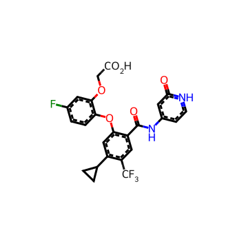 O=C(O)COc1cc(F)ccc1Oc1cc(C2CC2)c(C(F)(F)F)cc1C(=O)Nc1cc[nH]c(=O)c1